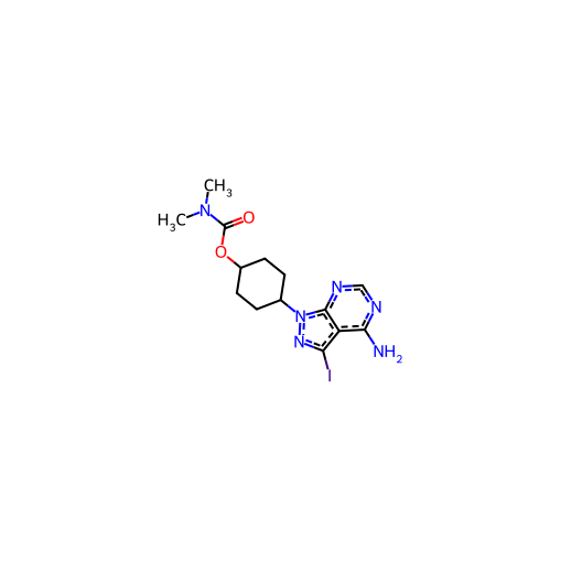 CN(C)C(=O)OC1CCC(n2nc(I)c3c(N)ncnc32)CC1